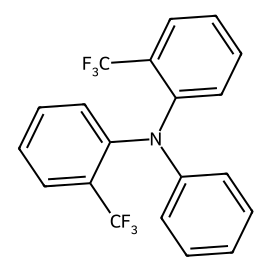 FC(F)(F)c1ccccc1N(c1ccccc1)c1ccccc1C(F)(F)F